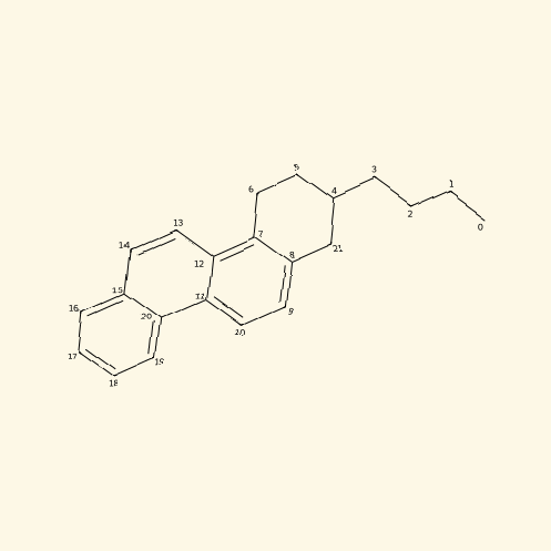 CCCCC1CCc2c(ccc3c2ccc2ccccc23)C1